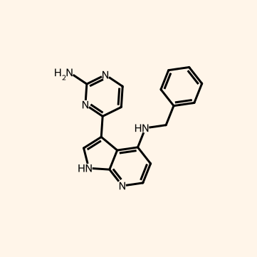 Nc1nccc(-c2c[nH]c3nccc(NCc4ccccc4)c23)n1